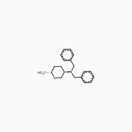 O=C(O)[C@@H]1CC[C@@H](N(Cc2ccccc2)Cc2ccccc2)CO1